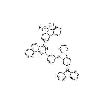 CC1(C)c2ccccc2-c2cc(-c3nc(-c4cccc(-n5c6ccccc6c6ccc(-n7c8ccccc8c8ccccc87)cc65)c4)nc4c3ccc3ccccc34)ccc21